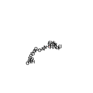 COc1cc2ncnc(Nc3ccc(F)c(Cl)c3)c2cc1OCCCN1CCN(CCOCCC(=O)N2CCC3(CCc4cc5c(cc4O3)C(=O)N(C3CCC(=O)NC3=O)C5)CC2)CC1